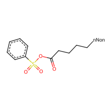 CCCCCCCCCCCCCC(=O)OS(=O)(=O)c1ccccc1